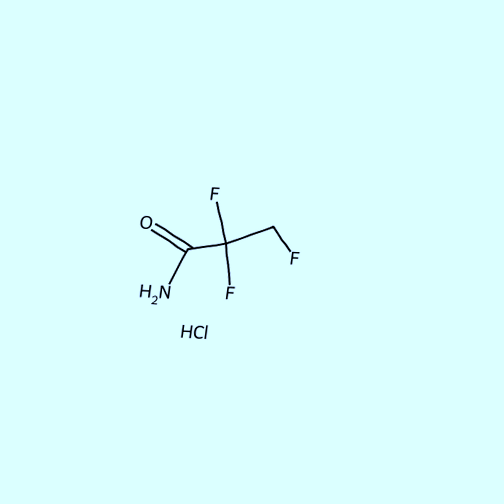 Cl.NC(=O)C(F)(F)CF